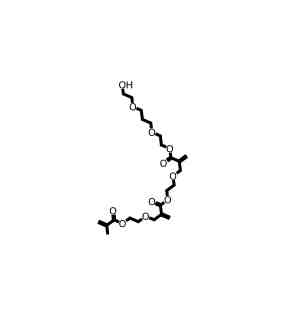 C=C(C)C(=O)OCCOCC(=C)C(=O)OCCOCC(=C)C(=O)OCCOCCCOCCO